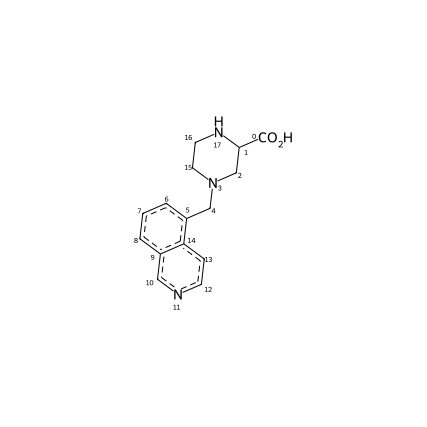 O=C(O)C1CN(Cc2cccc3cnccc23)CCN1